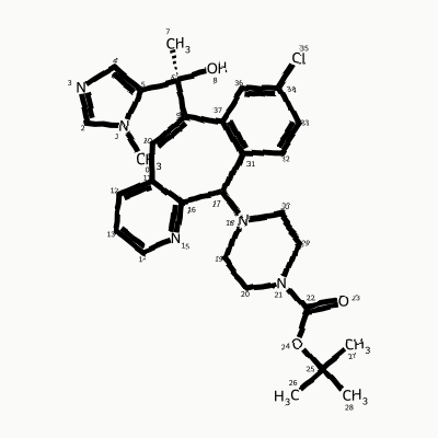 Cn1cncc1[C@@](C)(O)C1=Cc2cccnc2C(N2CCN(C(=O)OC(C)(C)C)CC2)c2ccc(Cl)cc21